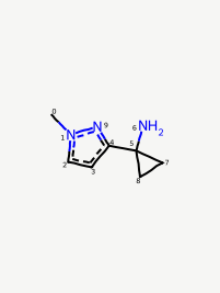 Cn1ccc(C2(N)CC2)n1